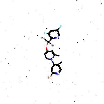 [2H]C([2H])(OC1=CCN(c2cc(Br)ncc2C)C(C)=C1)c1ncc(F)cc1F